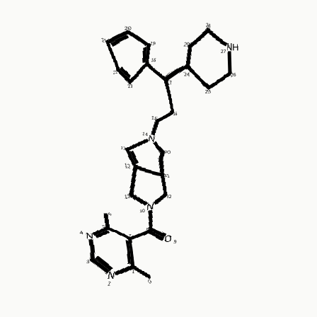 Cc1ncnc(C)c1C(=O)N1CC2=CN(CCC(c3ccccc3)C3CCNCC3)CC2C1